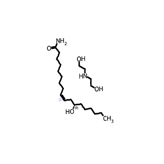 CCCCCC[C@@H](O)C/C=C\CCCCCCCC(N)=O.OCCNCCO